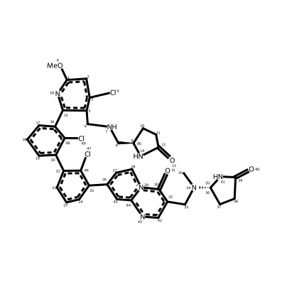 COc1cc(Cl)c(CNC[C@H]2CCC(=O)N2)c(-c2cccc(-c3cccc(-c4ccn5c(=O)c(CN(C)[C@H]6CCC(=O)N6)cnc5c4)c3Cl)c2Cl)n1